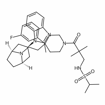 Cc1nc2ccccc2n1[C@H]1C[C@H]2CC[C@@H](C1)N2CCC1(c2cccc(F)c2)CCN(C(=O)C(C)(C)CNS(=O)(=O)C(C)C)CC1